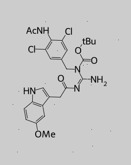 COc1ccc2[nH]cc(CC(=O)N=C(N)N(Cc3cc(Cl)c(NC(C)=O)c(Cl)c3)C(=O)OC(C)(C)C)c2c1